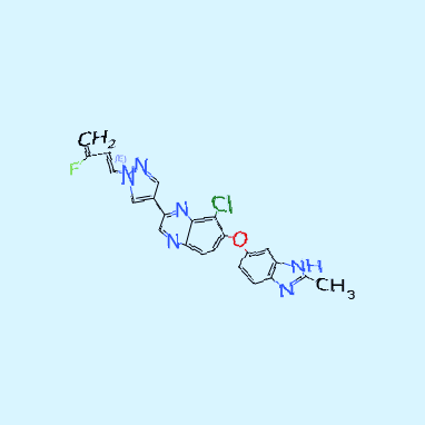 C=C(F)/C=C/n1cc(-c2cnc3ccc(Oc4ccc5nc(C)[nH]c5c4)c(Cl)c3n2)cn1